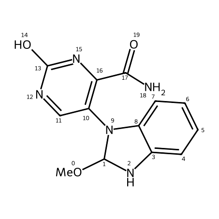 COC1Nc2ccccc2N1c1cnc(O)nc1C(N)=O